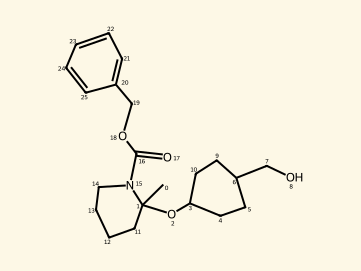 CC1(OC2CCC(CO)CC2)CCCCN1C(=O)OCc1ccccc1